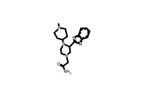 CN1CCC(N2CCN(CC(N)=O)CC2c2nc3ccccc3s2)CC1